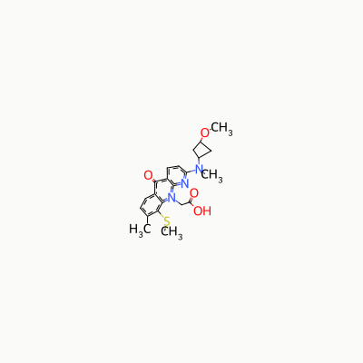 COC1CC(N(C)c2ccc3c(=O)c4ccc(C)c(SC)c4n(CC(=O)O)c3n2)C1